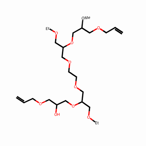 C=CCOCC(O)COC(COCC)COCCOCC(COCC)OCC(COCC=C)OC